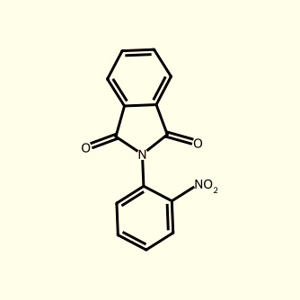 O=C1c2ccccc2C(=O)N1c1ccccc1[N+](=O)[O-]